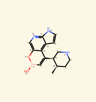 C[C@@H]1CCNC[C@@H]1C1=CB(O)Oc2cnc3[nH]ccc3c21